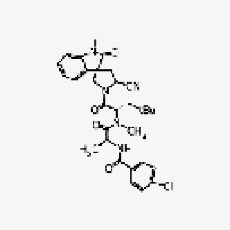 C[C@H](NC(=O)c1ccc(Cl)cc1)C(=O)N(C)[C@@H](CC(C)(C)C)C(=O)N1C[C@]2(C[C@H]1C#N)C(=O)Nc1ccccc12